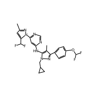 Cc1cc(C(F)F)n(-c2cc(Nc3c(C)c(-c4ccc(OC(F)F)cc4)nn3CC3CC3)ncn2)n1